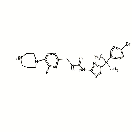 CC(C)(c1ccc(Br)cc1)c1csc(NC(=O)NCc2ccc(N3CCCNCC3)c(F)c2)n1